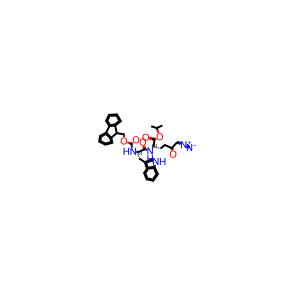 CC(C)OC(=O)[C@H](CCC(=O)C=[N+]=[N-])NC(=O)[C@H](Cc1c[nH]c2ccccc12)NC(=O)OCC1c2ccccc2-c2ccccc21